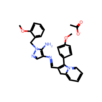 CC(=O)[O-].COc1ccc(C2=C(/C=N/c3cnn(Cc4ccccc4OC)c3N)Cc3cccc[n+]32)cc1